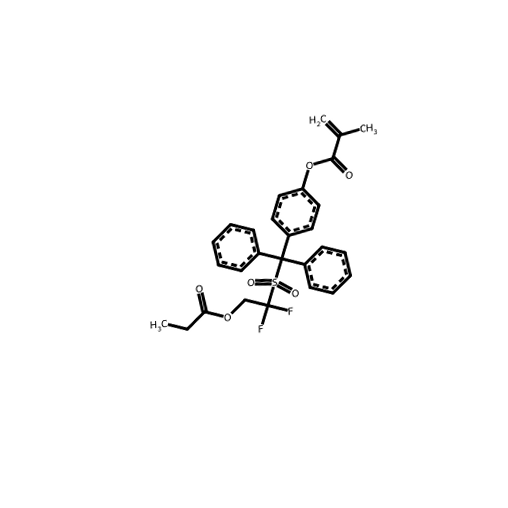 C=C(C)C(=O)Oc1ccc(C(c2ccccc2)(c2ccccc2)S(=O)(=O)C(F)(F)COC(=O)CC)cc1